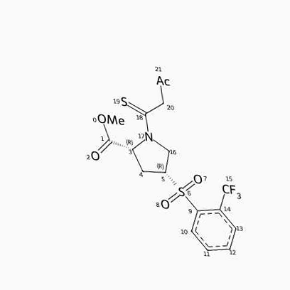 COC(=O)[C@H]1C[C@@H](S(=O)(=O)c2ccccc2C(F)(F)F)CN1C(=S)CC(C)=O